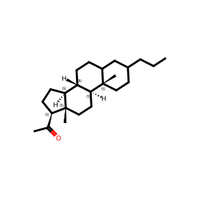 CCCC1CC[C@@]2(C)C(CC[C@H]3[C@@H]4CC[C@H](C(C)=O)[C@@]4(C)CC[C@@H]32)C1